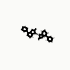 CC1=Cc2c(-c3ccccc3)cccc2[CH]1[Mg][CH]1C(C)=Cc2c(-c3ccccc3)cccc21